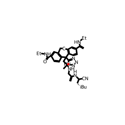 C=C(CNC(C)(C)CC1(c2nnn[nH]2)c2ccc(C(=C)NCC)cc2CCc2cc(C(=O)NCC)ccc21)NC(C#N)C[C@@H](C)CC